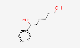 OCCCCCC(O)c1cc[c]cc1